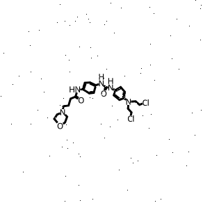 O=C(CCCN1CCOCC1)Nc1ccc(NC(=O)Nc2ccc(N(CCCl)CCCl)cc2)cc1